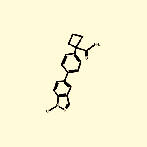 NC(=O)C1(c2ccc(-c3ccc4c(cnn4Cl)c3)cc2)CCC1